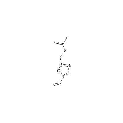 C=Cn1cnc(CCC(=C)C)c1